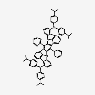 CC(C)c1ccc(N(c2ccc(C(C)C)cc2)c2cccc3c2c2cccc4c5c(-c6ccccc6)c6c(c(-c7ccccc7)c5n3c24)c2cccc3c4c(N(c5ccc(C(C)C)cc5)c5ccc(C(C)C)cc5)cccc4n6c32)cc1